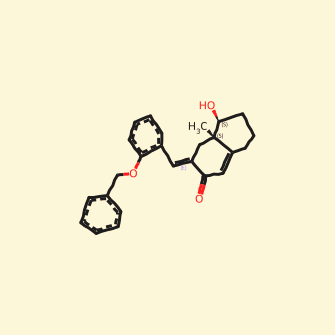 C[C@]12C/C(=C\c3ccccc3OCc3ccccc3)C(=O)C=C1CCC[C@@H]2O